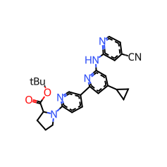 CC(C)(C)OC(=O)C1CCCN1c1ccc(-c2cc(C3CC3)cc(Nc3cc(C#N)ccn3)n2)cn1